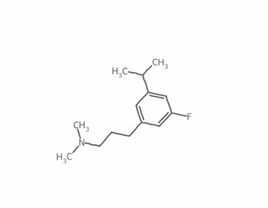 CC(C)c1cc(F)cc(CCCN(C)C)c1